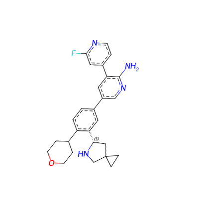 Nc1ncc(-c2ccc(C3CCOCC3)c([C@@H]3CC4(CC4)CN3)c2)cc1-c1ccnc(F)c1